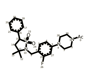 CC(=O)N1CCN(c2ccc(CN3C(C)(C)CC(c4ccccc4)S3(=O)=O)c(F)c2)CC1